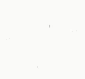 O=[N+]([O-])c1ccc(Cl)cc1Nc1cccc(Cl)c1